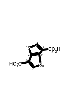 O=C(O)c1csc2c(C(=O)O)csc12